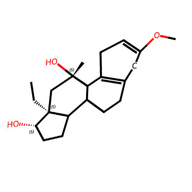 CC[C@]12C[C@](C)(O)C3C4=C(CCC3C1CC[C@@H]2O)CC(OC)=CC4